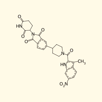 Cc1c(C(=O)N2CCC(c3ccc4c(c3)C(=O)N(C3CCC(=O)NC3=O)C4=O)CC2)[nH]c2cc([N+](=O)[O-])ccc12